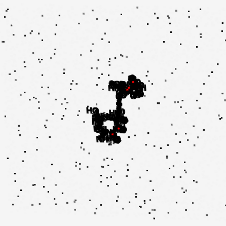 CO[C@H]1C(=O)[C@]2(C)[C@@H](OC)C[C@H]3OC[C@@]3(OC(C)=O)[C@H]2[C@H](OC(=O)c2ccccc2)[C@]2(O)C[C@H](OC(=O)[C@H](OC(=O)OCCSSCCC(=O)N[C@H](Cc3ccccc3)C(=O)N[C@H]3CSSC[C@@H](C(=O)N[C@H](CO)[C@@H](C)O)NC(=O)[C@H]([C@@H](C)O)NC(=O)[C@H](CCCCN)NC(=O)[C@@H](Cc4c[nH]c5ccccc45)NC(=O)[C@H](Cc4ccccc4)NC3=O)[C@@H](NC(=O)OC(C)(C)C)c3ccccc3)C(C)=C1C2(C)C